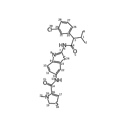 CC(C)C(C(=O)Nc1nc2ccc(NC(=O)C3=CSCN3C)cc2s1)c1cccc(Cl)c1